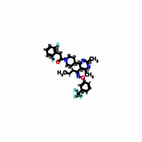 CCCC(=NOc1cccc(C(F)(F)F)c1)c1c(C)nc(C)nc1C1CCN(C(=O)Cc2c(F)cccc2F)CC1